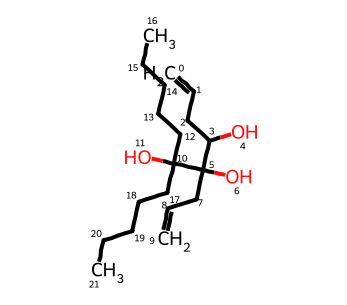 C=CCC(O)C(O)(CC=C)C(O)(CCCCC)CCCCC